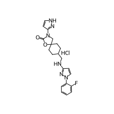 Cl.O=C1OC2(CCC(CNc3ccn(-c4ccccc4F)n3)CC2)CN1c1cc[nH]n1